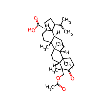 C=C(C)[C@@H]1CC[C@]2(C(=O)O)CC[C@]3(C)[C@H](CC[C@@H]4[C@@]5(C)CCC(=O)C(C)(COC(C)=O)[C@@H]5CC[C@]43C)[C@@H]12